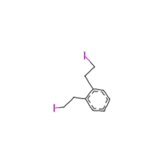 ICCc1ccccc1CCI